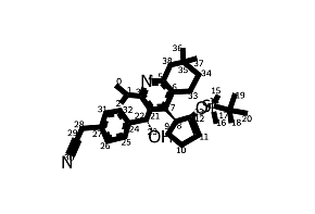 CC(C)c1nc2c(c([C@@H]3CCC=C3O[Si](C)(C)C(C)(C)C)c1[C@H](O)c1ccc(CC#N)cc1)CCC(C)(C)C2